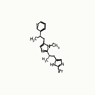 CC(C)c1ncc(CC(C)c2ncc(CC(C)c3cccnc3)n2C)[nH]1